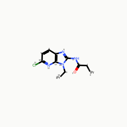 CC(C)CC(=O)Nc1nc2ccc(Cl)nc2n1CC(C)C